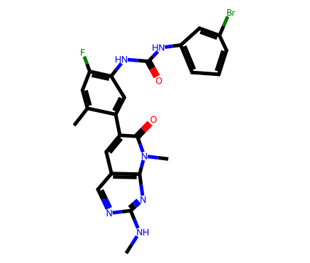 CNc1ncc2cc(-c3cc(NC(=O)Nc4cccc(Br)c4)c(F)cc3C)c(=O)n(C)c2n1